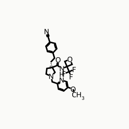 COc1ccc(CN2CC[C@@](CCc3ccc(C#N)cc3)(C(=O)NC3(C(F)(F)F)COC3)C2)nc1